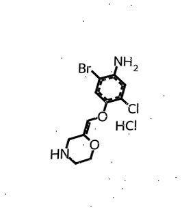 Cl.Nc1cc(Cl)c(OC=C2CNCCO2)cc1Br